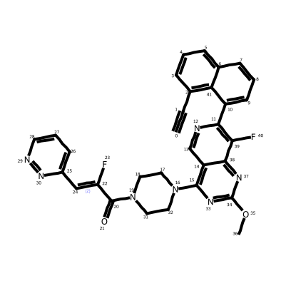 C#Cc1cccc2cccc(-c3ncc4c(N5CCN(C(=O)/C(F)=C/c6cccnn6)CC5)nc(OC)nc4c3F)c12